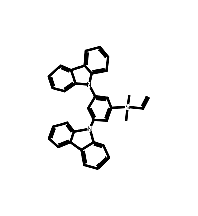 C=C[Si](C)(C)c1cc(-n2c3ccccc3c3ccccc32)cc(-n2c3ccccc3c3ccccc32)c1